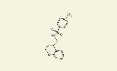 Cc1ccc(S(=O)(=O)NCC2CCOc3[c]cccc32)cc1